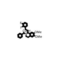 COc1cc2c(cc1OC)C(CCc1cccc(F)c1F)N(C(C(=O)O)c1ccccc1)CC2